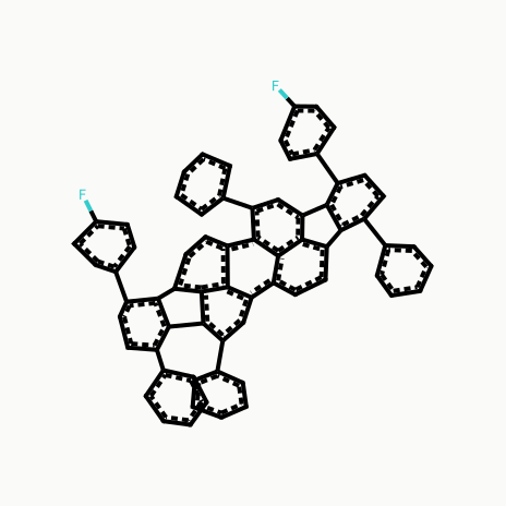 Fc1ccc(-c2ccc(-c3ccccc3)c3c2-c2ccc4c5c(-c6ccccc6)cc6c7c(ccc(c8cc(-c9ccccc9)c-3c2c84)c75)-c2c(-c3ccccc3)ccc(-c3ccc(F)cc3)c2-6)cc1